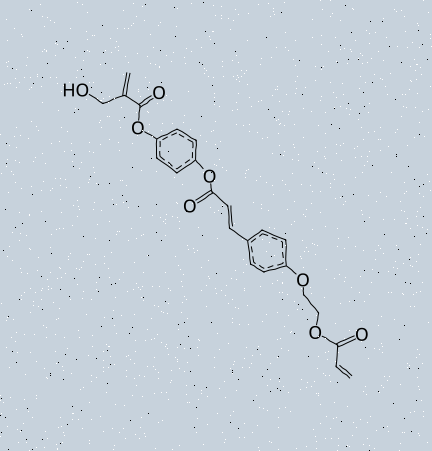 C=CC(=O)OCCOc1ccc(/C=C/C(=O)Oc2ccc(OC(=O)C(=C)CO)cc2)cc1